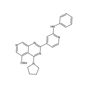 COc1cncc2nc(-c3ccnc(Nc4ccccc4)c3)nc(N3CCCC3)c12